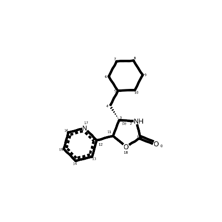 O=C1N[C@@H](CC2CCCCC2)C(c2ccccn2)O1